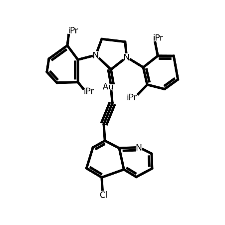 CC(C)c1cccc(C(C)C)c1N1CCN(c2c(C(C)C)cccc2C(C)C)[C]1=[Au][C]#Cc1ccc(Cl)c2cccnc12